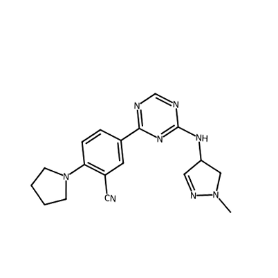 CN1CC(Nc2ncnc(-c3ccc(N4CCCC4)c(C#N)c3)n2)C=N1